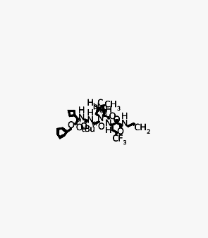 C=CCNC(=O)C(=O)C(CCC(F)(F)F)NC(=O)[C@@H]1[C@@H]2[C@H](CN1C(=O)[C@@H](NC(=O)N[C@H](C(=O)OCc1ccccc1)C1CCC1)C(C)(C)C)C2(C)C